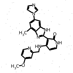 COc1ccnc(CNc2cc[nH]c(=O)c2-c2nc3c(C)cc(-n4ccnc4)cc3[nH]2)c1